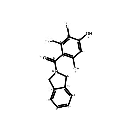 Cc1c(Cl)c(O)cc(O)c1C(=O)N1Cc2ccccc2C1